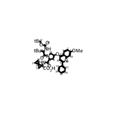 COc1ccc2c(OC3CC(C(=O)NC4(C(=O)O)CC45CC5)N(C(=O)C(NC(=O)OC(C)(C)C)C(C)(C)C)C3)cc(-c3ccccc3)nc2c1